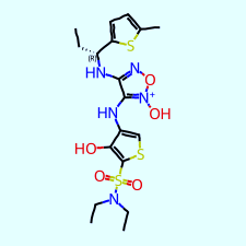 CC[C@@H](Nc1no[n+](O)c1Nc1csc(S(=O)(=O)N(CC)CC)c1O)c1ccc(C)s1